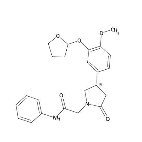 COc1ccc([C@@H]2CC(=O)N(CC(=O)Nc3ccccc3)C2)cc1OC1CCCO1